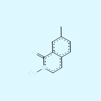 Cc1ccc2ccn(C(C)(C)C)c(=O)c2c1